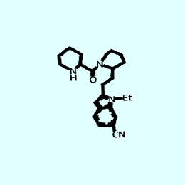 CCn1c(CCC2CCCCN2C(=O)C2CCCCN2)cc2ccc(C#N)cc21